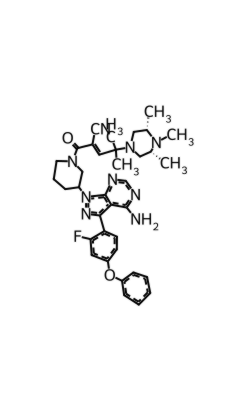 C[C@@H]1CN(C(C)(C)C=C(C#N)C(=O)N2CCCC(n3nc(-c4ccc(Oc5ccccc5)cc4F)c4c(N)ncnc43)C2)C[C@H](C)N1C